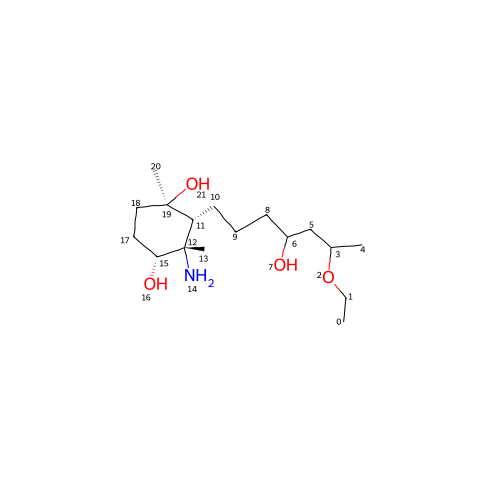 CCOC(C)CC(O)CCC[C@@H]1[C@](C)(N)[C@H](O)CC[C@@]1(C)O